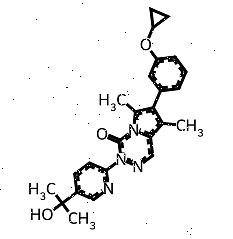 Cc1c(-c2cccc(OC3CC3)c2)c(C)n2c(=O)n(-c3ccc(C(C)(C)O)cn3)ncc12